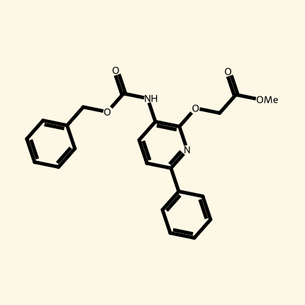 COC(=O)COc1nc(-c2ccccc2)ccc1NC(=O)OCc1ccccc1